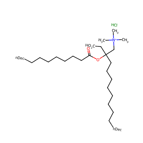 CCCCCCCCCCCCCCCCCCC(CC(=O)O)(C[N+](C)(C)C)OC(=O)CCCCCCCCCCCCCCCCC.Cl